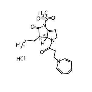 CCC[C@H]1C(=O)N(S(C)(=O)=O)C2=CCN(C(=O)CCN3C=CC=CC=C3)[C@@H]21.Cl